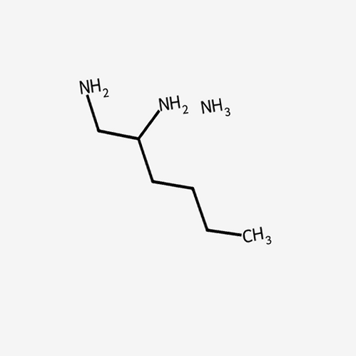 CCCCC(N)CN.N